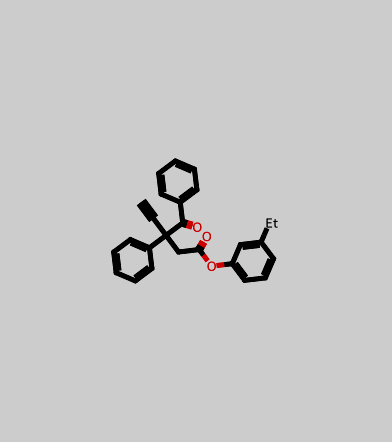 C#CC(CC(=O)Oc1cccc(CC)c1)(C(=O)c1ccccc1)c1ccccc1